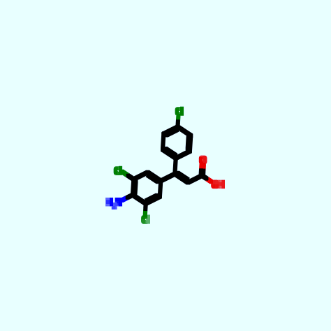 Nc1c(Cl)cc(/C(=C/C(=O)O)c2ccc(Cl)cc2)cc1Cl